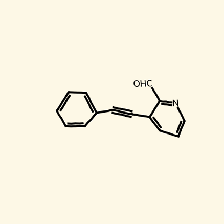 O=Cc1ncccc1C#Cc1ccccc1